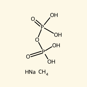 C.O=P(O)(O)OP(=O)(O)O.[NaH]